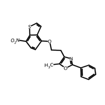 Cc1oc(-c2ccccc2)nc1CCOc1ccc([N+](=O)[O-])c2sccc12